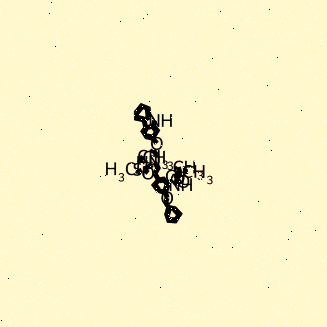 CC[Si](CC)(CC)OC(CNCCOc1ccc2c(c1)[nH]c1ccccc12)c1ccc(OCc2ccccc2)c(NS(=O)(=O)N(C)C)c1